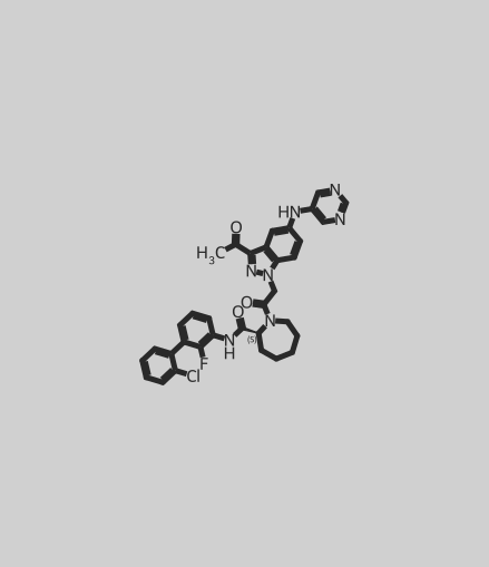 CC(=O)c1nn(CC(=O)N2CCCCC[C@H]2C(=O)Nc2cccc(-c3ccccc3Cl)c2F)c2ccc(Nc3cncnc3)cc12